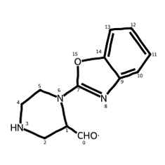 O=[C]C1CNCCN1c1nc2ccccc2o1